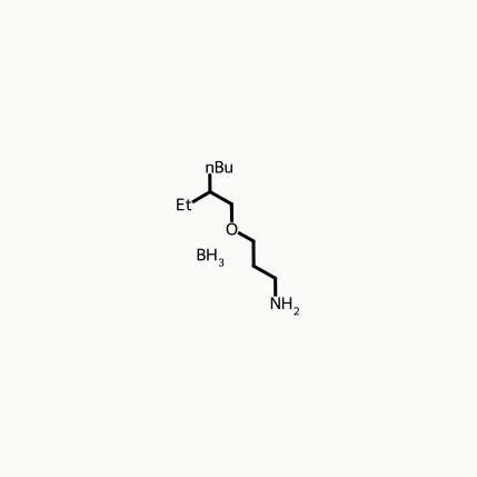 B.CCCCC(CC)COCCCN